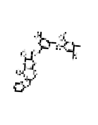 CNc1cc(OCc2cc(N)cc(COc3cc4c(cc3OC)C(=O)N3c5ccccc5CC3C=N4)c2)c(OC)cc1C